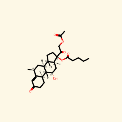 CCCCC(=O)O[C@]1(C(=O)COC(C)=O)CC[C@H]2[C@@H]3C[C@H](C)C4=CC(=O)CC[C@]4(C)[C@H]3[C@@H](O)C[C@@]21C